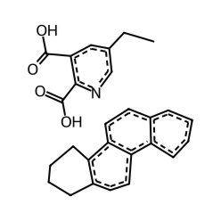 CCc1cnc(C(=O)O)c(C(=O)O)c1.c1ccc2c(c1)ccc1c3c(ccc12)CCCC3